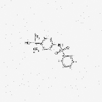 O=S(=O)(Nc1ccc(C(O)(C(F)(F)F)C(F)(F)F)cc1)c1ccccc1